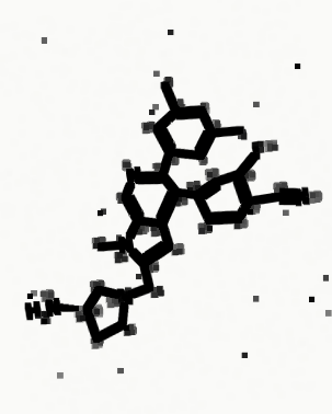 Cc1cc(C)cc(-c2ncc3c(cc(CN4CC[C@H](N)C4)n3C)c2-c2ccc(C#N)c(F)c2)c1